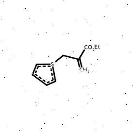 C=C(C[s+]1cccc1)C(=O)OCC